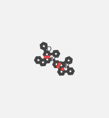 c1cc(-c2ccc(N(c3ccc4c(ccc5ccccc54)c3)c3ccccc3-c3cccc4c3oc3ccccc34)cc2)cc(-c2ccccc2-n2c3ccccc3c3ccccc32)c1